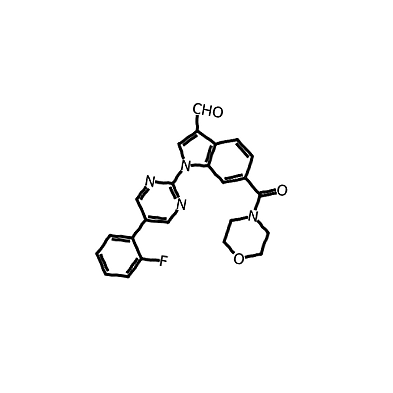 O=Cc1cn(-c2ncc(-c3ccccc3F)cn2)c2cc(C(=O)N3CCOCC3)ccc12